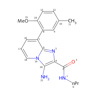 CCCNC(=O)c1nc2c(-c3cc(C)ccc3OC)cccn2c1N